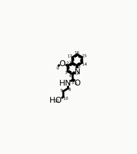 COc1cc(C(=O)NCCCO)nc2ccccc12